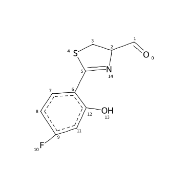 O=CC1CSC(c2ccc(F)cc2O)=N1